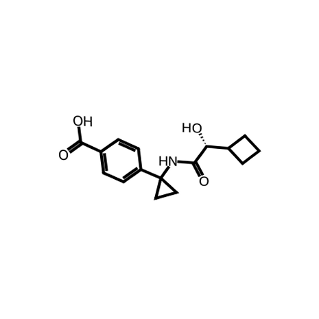 O=C(O)c1ccc(C2(NC(=O)[C@H](O)C3CCC3)CC2)cc1